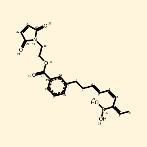 C\C=C(/C=C\C=C\CCc1cccc(C(=O)OCCN2C(=O)C=CC2=O)c1)B(O)O